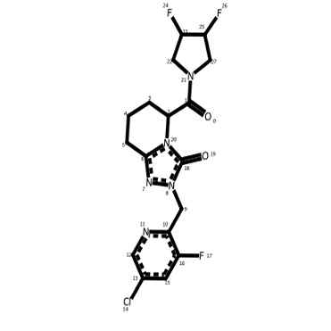 O=C(C1CCCc2nn(Cc3ncc(Cl)cc3F)c(=O)n21)N1CC(F)C(F)C1